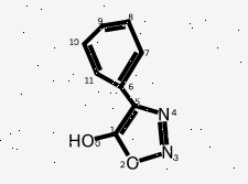 Oc1onnc1-c1ccccc1